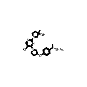 CC(=O)N[C@@H](C)c1ccc(O[C@@H]2CCN(c3nc(N4CCC(C)(O)C4)ncc3Cl)C2)cc1